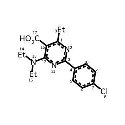 CCc1nc(-c2ccc(Cl)cc2)nc(N(CC)CC)c1C(=O)O